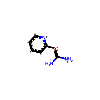 NC(N)=[S+]c1ccccn1